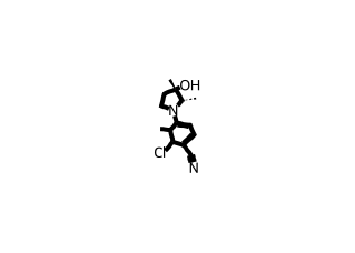 CC1C(N2CC[C@](C)(O)[C@@H]2C)=CC=C(C#N)C1Cl